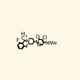 CNc1cnn(C2CCN(C(C)c3c(F)cccc3F)CC2)c(=O)c1Cl